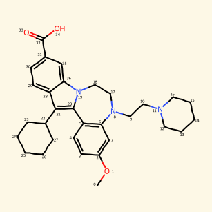 COc1ccc2c(c1)N(CCN1CCCCC1)CCn1c-2c(C2CCCCC2)c2ccc(C(=O)O)cc21